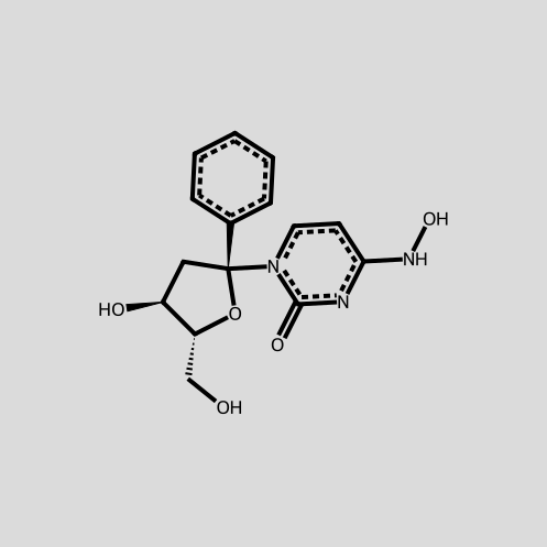 O=c1nc(NO)ccn1[C@@]1(c2ccccc2)C[C@H](O)[C@@H](CO)O1